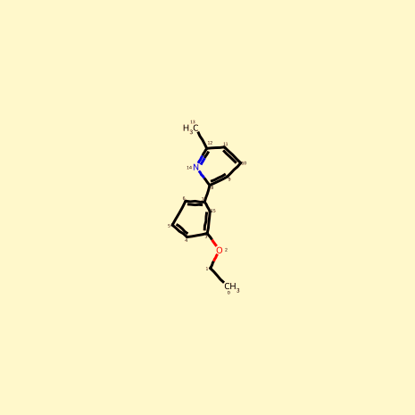 CCOc1cccc(-c2cccc(C)n2)c1